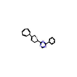 C1=CC=CC(C2=CCC(c3ncnc(-c4ccccc4)n3)CC2)C=C1